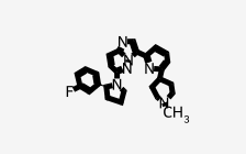 CN1CCC(c2cccc(-c3cnc4ccc(N5CCC[C@@H]5c5cccc(F)c5)nn34)n2)CC1